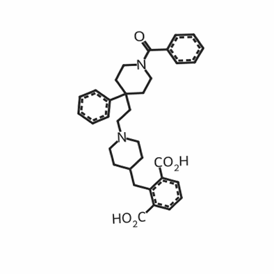 O=C(O)c1cccc(C(=O)O)c1CC1CCN(CCC2(c3ccccc3)CCN(C(=O)c3ccccc3)CC2)CC1